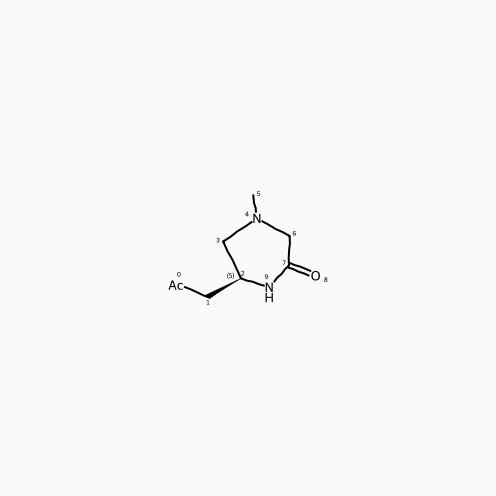 CC(=O)C[C@H]1CN(C)CC(=O)N1